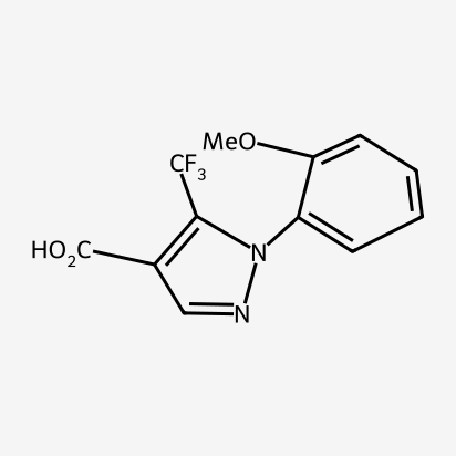 COc1ccccc1-n1ncc(C(=O)O)c1C(F)(F)F